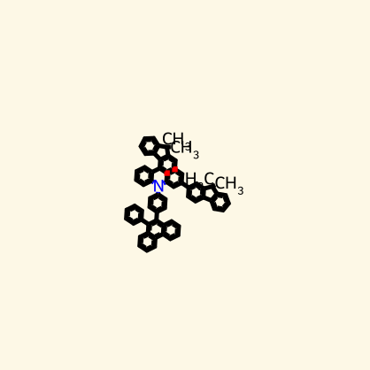 CC1(C)c2ccccc2-c2ccc(-c3cccc(N(c4ccc(-c5c(-c6ccccc6)c6ccccc6c6ccccc56)cc4)c4ccccc4-c4cccc5c4-c4ccccc4C5(C)C)c3)cc21